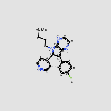 CNCCCn1c(-c2ccncc2)c(-c2ccc(F)cc2)c2nccnc21